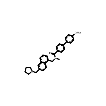 COc1ccc(-c2ccc(C(=O)N(C)Cc3cccc4cc(CN5CCCC5)ccc34)cc2)cc1